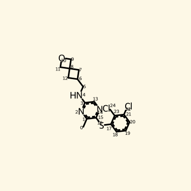 Cc1nc(NCC2CC3(COC3)C2)cnc1Sc1cccc(Cl)c1Cl